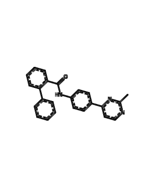 Cc1nccc(-c2ccc(NC(=O)c3ccccc3-c3ccccc3)cc2)n1